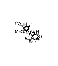 CCC(CC)N1CC(F)(F)C(=O)Nc2cnc(Nc3cc(F)c(C(=O)O)cc3OC)nc21